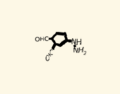 NNC1=CC(=C=O)C(C=O)C=C1